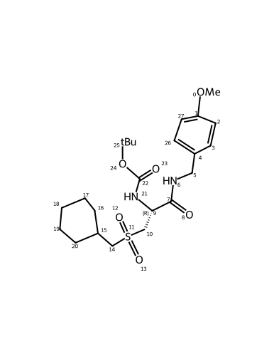 COc1ccc(CNC(=O)[C@H](CS(=O)(=O)CC2CCCCC2)NC(=O)OC(C)(C)C)cc1